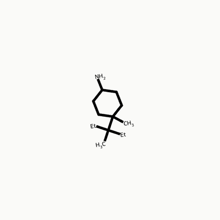 CCC(C)(CC)C1(C)CCC(N)CC1